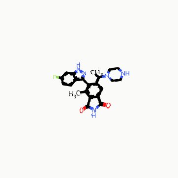 Cc1c2c(cc(C(C)N3CCNCC3)c1-c1n[nH]c3cc(F)ccc13)C(=O)NC2=O